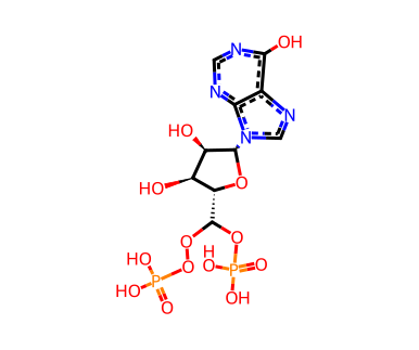 O=P(O)(O)OOC(OP(=O)(O)O)[C@H]1O[C@@H](n2cnc3c(O)ncnc32)[C@H](O)[C@@H]1O